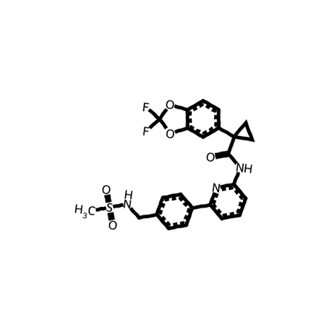 CS(=O)(=O)NCc1ccc(-c2cccc(NC(=O)C3(c4ccc5c(c4)OC(F)(F)O5)CC3)n2)cc1